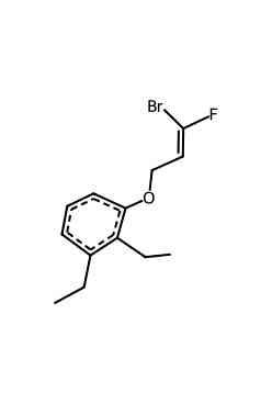 CCc1cccc(OCC=C(F)Br)c1CC